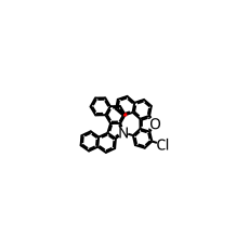 Clc1ccc(-n2c3ccc4ccccc4c3c3c4ccccc4ccc32)c2c1oc1ccc3ccccc3c12